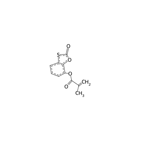 C=C(C)C(=O)Oc1cccc2sc(=O)oc12